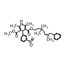 COC(=O)C1=C(C)NC(C)=C(C(=O)OCCC(C)(C)CCN(C)Cc2ccccc2)C1c1cccc([N+](=O)[O-])c1